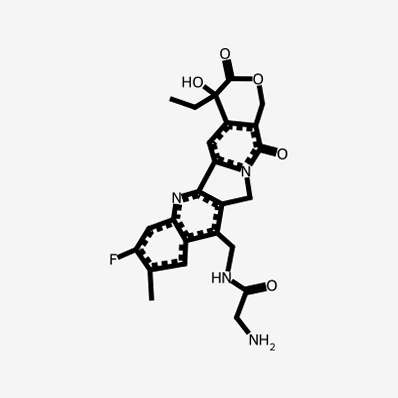 CCC1(O)C(=O)OCc2c1cc1n(c2=O)Cc2c-1nc1cc(F)c(C)cc1c2CNC(=O)CN